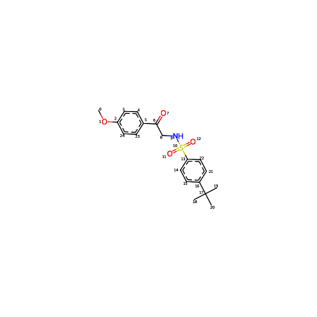 COc1ccc(C(=O)CNS(=O)(=O)c2ccc(C(C)(C)C)cc2)cc1